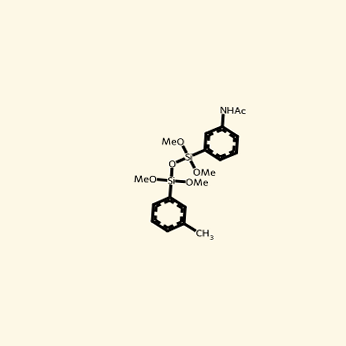 CO[Si](OC)(O[Si](OC)(OC)c1cccc(NC(C)=O)c1)c1cccc(C)c1